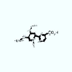 CCCCOc1cc(-c2nccc(C(=O)O)n2)[n+]([O-])cc1OCCCC